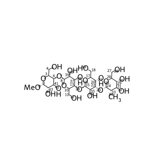 CO[C@@H]1OC(CO)[C@@H](O[C@@H]2OC(CO)[C@H](O[C@H]3OC(CO)[C@H](O)[C@H](O[C@@H]4OC(CO)[C@H](O)C(O)[C@@H]4C)C3O)C(O)[C@@H]2O)C(O)[C@@H]1O